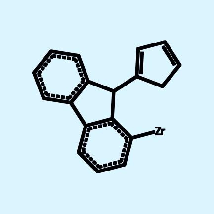 [Zr][c]1cccc2c1C(C1=CC=CC1)c1ccccc1-2